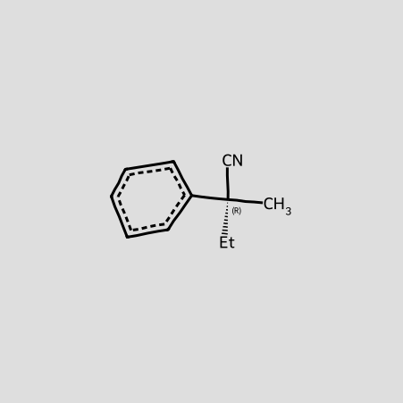 CC[C@@](C)(C#N)c1ccccc1